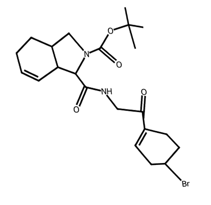 CC(C)(C)OC(=O)N1CC2CCC=CC2C1C(=O)NCC(=O)C1=CCC(Br)CC1